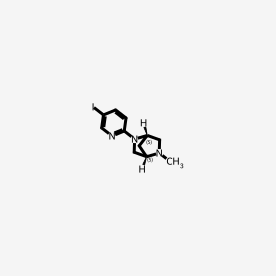 CN1C[C@@H]2C[C@H]1CN2c1ccc(I)cn1